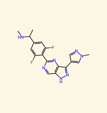 CNC(C)c1cc(F)c(-c2ncc3[nH]nc(-c4cnn(C)c4)c3n2)c(F)c1